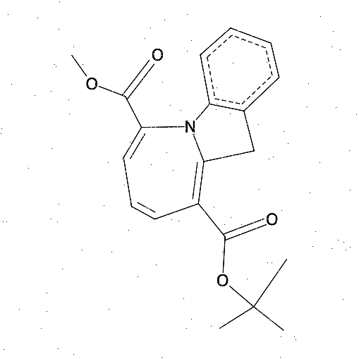 COC(=O)C1=CC=CC(C(=O)OC(C)(C)C)=C2Cc3ccccc3N12